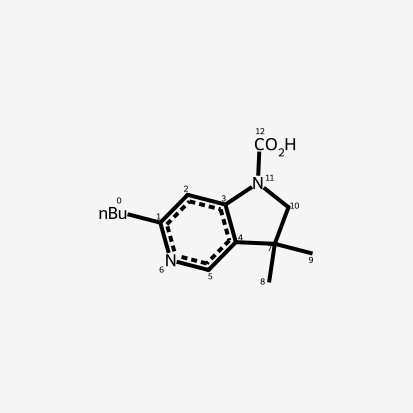 CCCCc1cc2c(cn1)C(C)(C)CN2C(=O)O